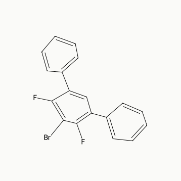 Fc1c(-c2ccccc2)cc(-c2ccccc2)c(F)c1Br